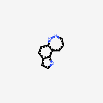 c1cnnc2ccc3ccnc3c2c1